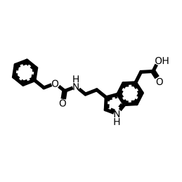 O=C(O)Cc1ccc2[nH]cc(CCNC(=O)OCc3ccccc3)c2c1